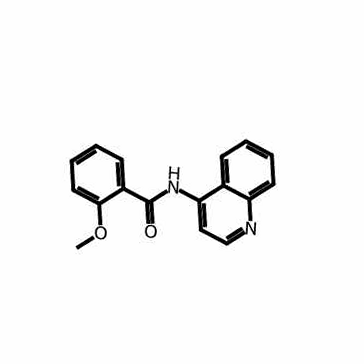 COc1ccccc1C(=O)Nc1ccnc2ccccc12